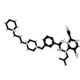 CC(C)CN(NC(=O)c1cccc(CN2CCN(CCCN3CCCCC3)CC2)c1)c1nc(C#N)ncc1Cl